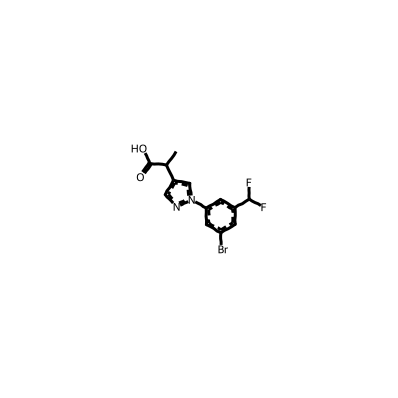 CC(C(=O)O)c1cnn(-c2cc(Br)cc(C(F)F)c2)c1